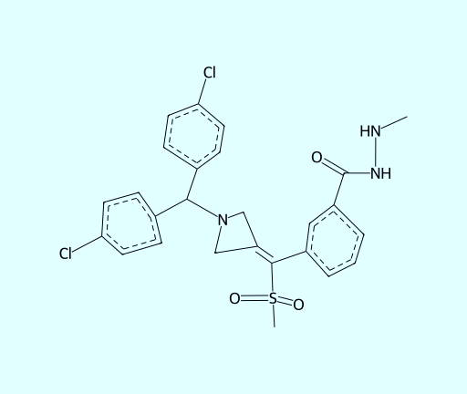 CNNC(=O)c1cccc(C(=C2CN(C(c3ccc(Cl)cc3)c3ccc(Cl)cc3)C2)S(C)(=O)=O)c1